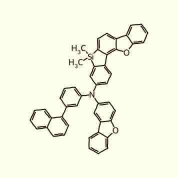 C[Si]1(C)c2cc(N(c3cccc(-c4cccc5ccccc45)c3)c3ccc4oc5ccccc5c4c3)ccc2-c2c1ccc1c2oc2ccccc21